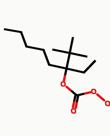 CCCCCC(CC)(OC(=O)OO)C(C)(C)C